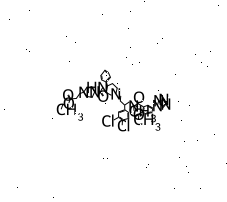 CCOC(=O)CCN1CCN(C(=O)NC2(c3ccccc3)CCN(CCC(CN(C)C(=O)c3cc(-n4cnnn4)ccc3OC)c3ccc(Cl)c(Cl)c3)CC2)CC1